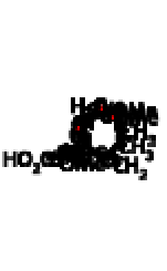 C=CC[C@@H]1/C=C(\C)C[C@H](C)C[C@H](OC)[C@H]2O[C@@](O)(C(=O)C(=O)N3CCCC[C@H]3C(=O)O[C@H](/C(C)=C/C3CC[C@@H](OCC(=O)O)[C@H](OC)C3)[C@H](C)[C@@H](O)CC1=O)[C@H](C)C[C@@H]2OC